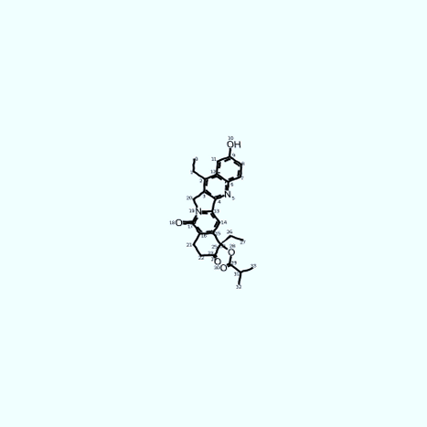 CCc1c2c(nc3ccc(O)cc13)-c1cc3c(c(=O)n1C2)CCC(=O)[C@@]3(CC)OC(=O)C(C)C